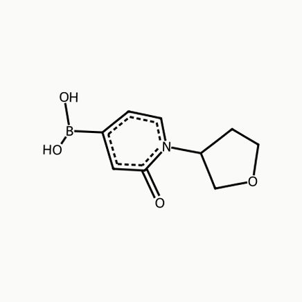 O=c1cc(B(O)O)ccn1C1CCOC1